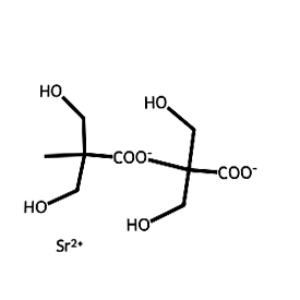 CC(CO)(CO)C(=O)[O-].CC(CO)(CO)C(=O)[O-].[Sr+2]